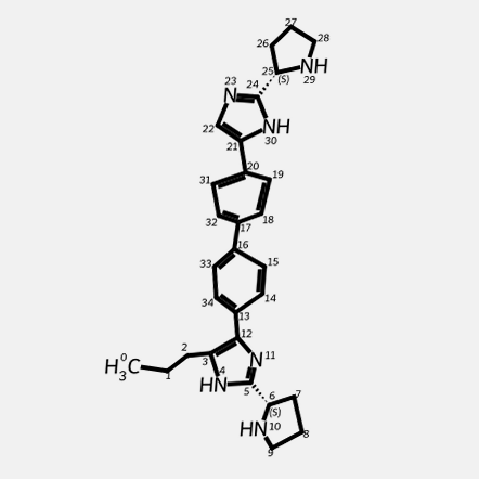 CCCc1[nH]c([C@@H]2CCCN2)nc1-c1ccc(-c2ccc(-c3cnc([C@@H]4CCCN4)[nH]3)cc2)cc1